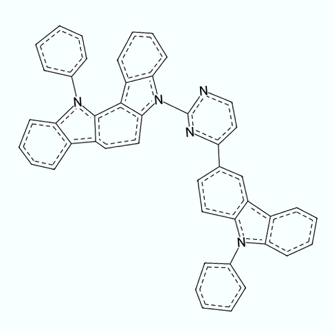 c1ccc(-n2c3ccccc3c3cc(-c4ccnc(-n5c6ccccc6c6c5ccc5c7ccccc7n(-c7ccccc7)c56)n4)ccc32)cc1